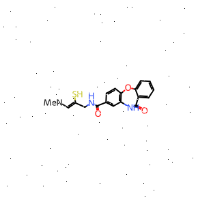 CN/C=C(\S)CNC(=O)c1ccc2c(c1)NC(=O)c1ccccc1O2